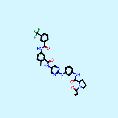 C=CC(=O)N1CCCC1C(=O)Nc1cccc(Nc2ncc(NC(=O)c3cc(NC(=O)c4cccc(C(F)(F)F)c4)ccc3C)cn2)c1